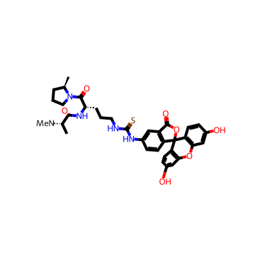 CN[C@@H](C)C(=O)N[C@@H](CCCNC(=S)Nc1ccc2c(c1)C(=O)OC21c2ccc(O)cc2Oc2cc(O)ccc21)C(=O)N1CCC[C@H]1C